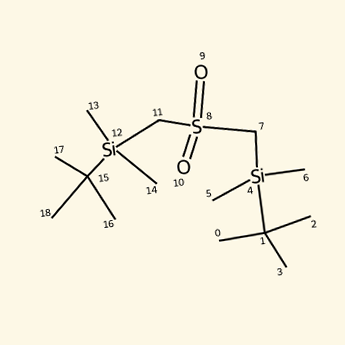 CC(C)(C)[Si](C)(C)CS(=O)(=O)C[Si](C)(C)C(C)(C)C